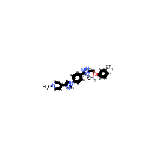 CN1CCC(c2cn(-c3ccc(-c4nnc(COc5cccc(C(F)(F)F)c5)n4C)cc3)cn2)CC1